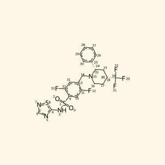 O=S(=O)(Nc1ncns1)c1cc(F)c(CN2CC[C@@H](C(F)(F)F)C[C@H]2c2ccccc2)cc1F